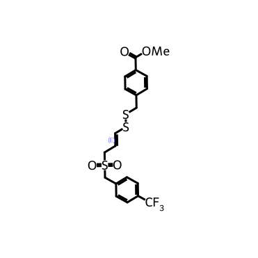 COC(=O)c1ccc(CSS/C=C/CS(=O)(=O)Cc2ccc(C(F)(F)F)cc2)cc1